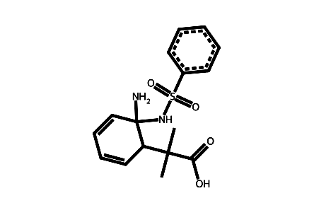 CC(C)(C(=O)O)C1C=CC=CC1(N)NS(=O)(=O)c1ccccc1